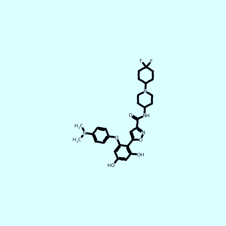 CN(C)c1ccc(Oc2cc(O)cc(O)c2-c2cc(C(=O)NC3CCN(C4CCC(F)(F)CC4)CC3)no2)cc1